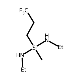 CCN[Si](C)(CCC(F)(F)F)NCC